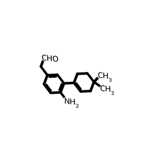 CC1(C)CC=C(c2cc(CC=O)ccc2N)CC1